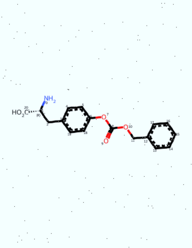 N[C@H](Cc1ccc(OC(=O)OCc2ccccc2)cc1)C(=O)O